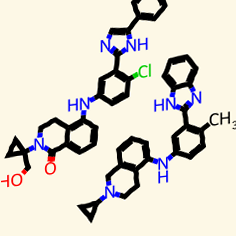 Cc1ccc(Nc2cccc3c2CCN(C2CC2)C3)cc1-c1nc2ccccc2[nH]1.O=C1c2cccc(Nc3ccc(Cl)c(-c4ncc(-c5ccccc5)[nH]4)c3)c2CCN1C1(CO)CC1